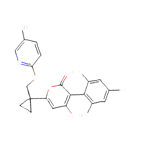 Cc1ccc(SCC2(c3cc(O)c(-c4c(C)cc(C)cc4C)c(=O)o3)CC2)nc1